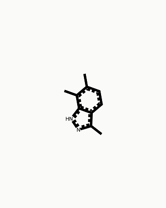 Cc1ccc2c(C)n[nH]c2c1C